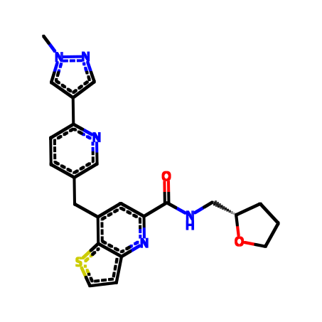 Cn1cc(-c2ccc(Cc3cc(C(=O)NC[C@@H]4CCCO4)nc4ccsc34)cn2)cn1